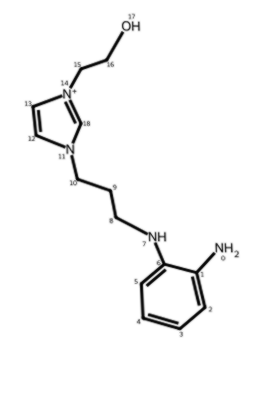 Nc1ccccc1NCCCn1cc[n+](CCO)c1